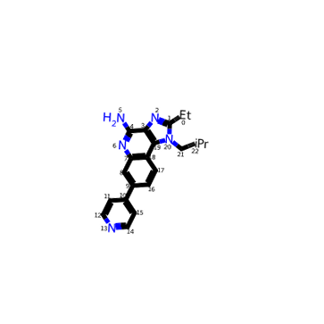 CCc1nc2c(N)nc3cc(-c4ccncc4)ccc3c2n1CC(C)C